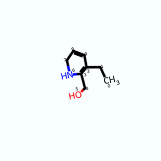 CCC1=C(CO)NCC=C1